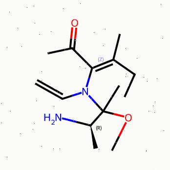 C=CN(/C(C(C)=O)=C(/C)CC)C(C)(OC)[C@@H](C)N